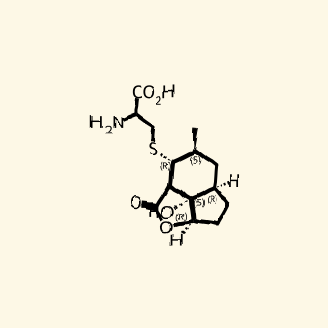 C[C@H]1C[C@H]2CC[C@H]3OC(=O)C([C@@H]1SCC(N)C(=O)O)[C@@]23O